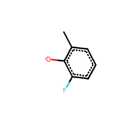 Cc1cccc(F)c1[O]